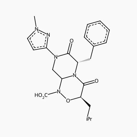 CC(C)C[C@H]1ON(C(=O)O)C2CN(c3ccn(C)n3)C(=O)[C@H](Cc3ccccc3)N2C1=O